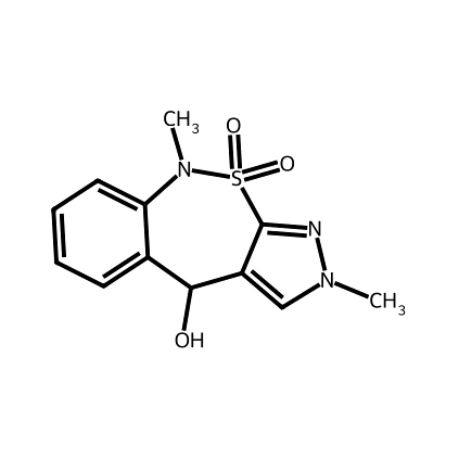 CN1c2ccccc2C(O)c2cn(C)nc2S1(=O)=O